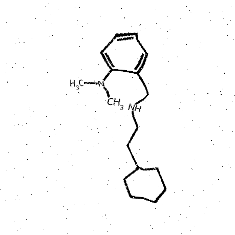 CN(C)c1ccccc1CNCCC1CCCCC1